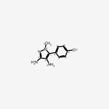 Cn1nc(N)c(N)c1-c1ccc(Cl)cc1